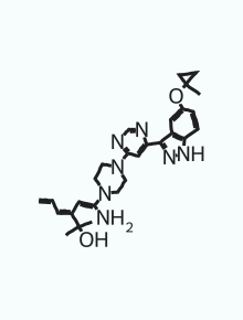 C=C/C=C(\C=C(/N)N1CCN(c2cc(-c3n[nH]c4ccc(OC5(C)CC5)cc34)ncn2)CC1)C(C)(C)O